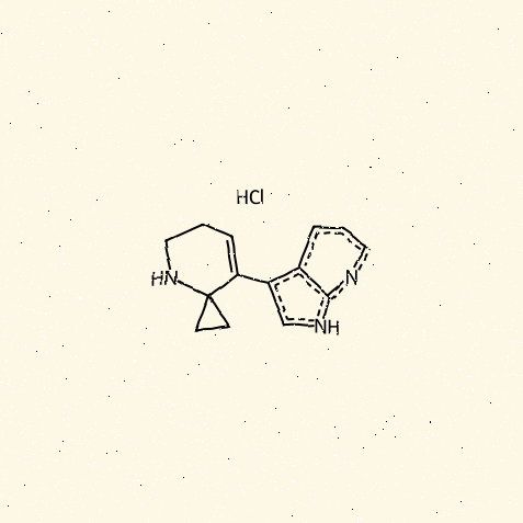 C1=C(c2c[nH]c3ncccc23)C2(CC2)NCC1.Cl